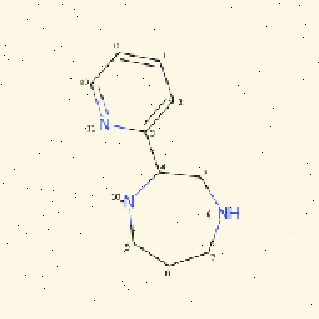 c1ccc(C2CNCCC[N]2)nc1